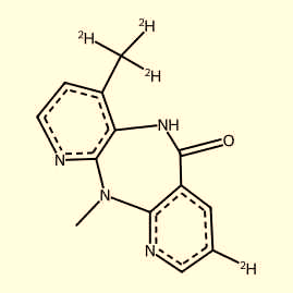 [2H]c1cnc2c(c1)C(=O)Nc1c(C([2H])([2H])[2H])ccnc1N2C